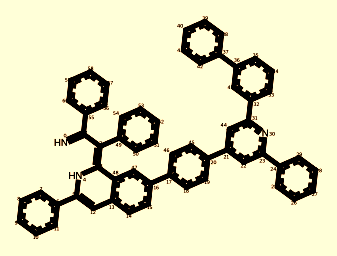 N=C(/C(=C1\NC(c2ccccc2)=Cc2ccc(-c3ccc(-c4cc(-c5ccccc5)nc(-c5cccc(-c6ccccc6)c5)c4)cc3)cc21)c1ccccc1)c1ccccc1